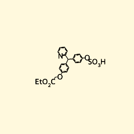 CCOC(=O)COc1ccc(C(c2ccc(OS(=O)(=O)O)cc2)c2ccccn2)cc1